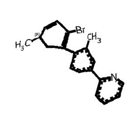 Cc1cc(-c2ccccn2)ccc1C1=C(Br)C=C[C@H](C)C1